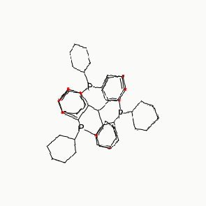 c1ccc(P(C2CCCCC2)C2CCCCC2)c(C(c2ccccc2P(C2CCCCC2)C2CCCCC2)c2ccccc2P(C2CCCCC2)C2CCCCC2)c1